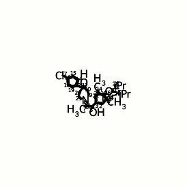 Cc1cc(C(O)[C@@H](C)N2CCC(O)(c3ccc(Cl)cc3)CC2)cc(C)c1O[Si](C(C)C)(C(C)C)C(C)C